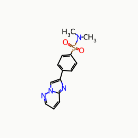 CN(C)S(=O)(=O)c1ccc(-c2cn3ncccc3n2)cc1